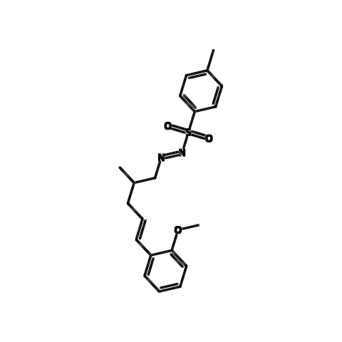 COc1ccccc1/C=C/CC(C)CN=NS(=O)(=O)c1ccc(C)cc1